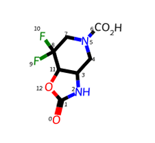 O=C1NC2CN(C(=O)O)CC(F)(F)C2O1